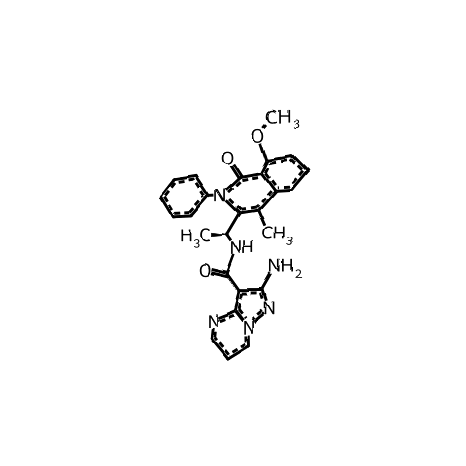 COc1cccc2c(C)c([C@H](C)NC(=O)c3c(N)nn4cccnc34)n(-c3ccccc3)c(=O)c12